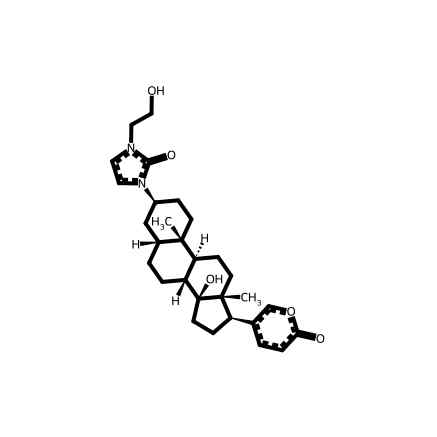 C[C@]12CC[C@H](n3ccn(CCO)c3=O)C[C@H]1CC[C@@H]1[C@@H]2CC[C@]2(C)[C@@H](c3ccc(=O)oc3)CC[C@]12O